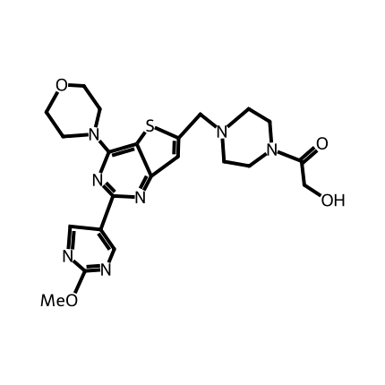 COc1ncc(-c2nc(N3CCOCC3)c3sc(CN4CCN(C(=O)CO)CC4)cc3n2)cn1